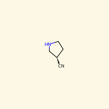 N#C[C@@H]1CCNC1